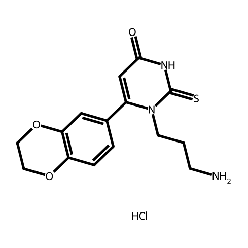 Cl.NCCCn1c(-c2ccc3c(c2)OCCO3)cc(=O)[nH]c1=S